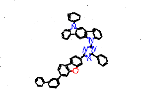 c1ccc(-c2cccc(-c3ccc4c(c3)oc3cc(-c5nc(-c6ccccc6)nc(-n6c7ccccc7c7cc8c(cc76)c6ccccc6n8-c6ccccc6)n5)ccc34)c2)cc1